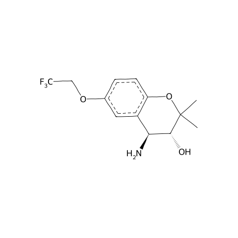 CC1(C)Oc2ccc(OCC(F)(F)F)cc2[C@H](N)[C@H]1O